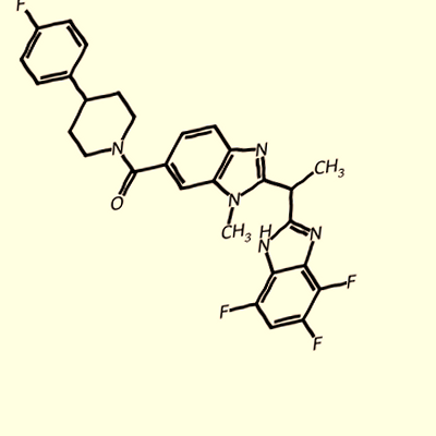 CC(c1nc2c(F)c(F)cc(F)c2[nH]1)c1nc2ccc(C(=O)N3CCC(c4ccc(F)cc4)CC3)cc2n1C